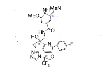 CN/C=C1/C=C(C(=O)NC[C@](O)(c2cc3c(c(-c4ccc(F)cc4)n2)OC[C@@]3(n2cnnc2)C(F)(F)F)C2CC2)C=C(OC)C1=N